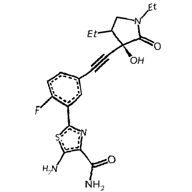 CCC1CN(CC)C(=O)[C@]1(O)C#Cc1ccc(F)c(-c2nc(C(N)=O)c(N)s2)c1